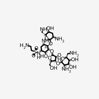 NCCS(=O)(=O)N[C@@H]1C[C@H](N)[C@@H](O[C@H]2O[C@H](CN)[C@H](O)C[C@H]2N)[C@H](O[C@@H]2O[C@H](CO)[C@@H](O[C@H]3O[C@@H](CN)[C@@H](O)[C@H](O)[C@H]3N)[C@H]2O)[C@H]1O